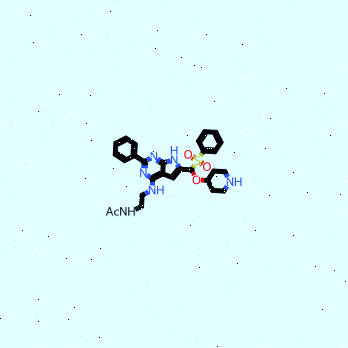 CC(=O)NCCNc1nc(-c2ccccc2)nc2[nH]c(C(OC3CCNCC3)S(=O)(=O)c3ccccc3)cc12